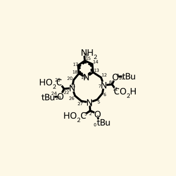 CC(C)(C)OC(C(=O)O)N1CCN(C(OC(C)(C)C)C(=O)O)Cc2cc(N)cc(n2)CN(C(OC(C)(C)C)C(=O)O)CC1